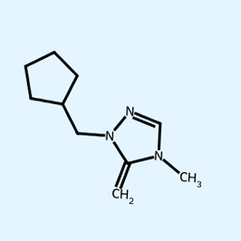 C=C1N(C)C=NN1CC1CCCC1